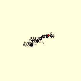 Cc1cc(Nc2ncc(Cl)c(Nc3ccccc3S(=O)(=O)C(C)C)n2)c(OC(C)C)cc1N1CCC(N2CCN(Cc3cccc(NC4CCC(=O)NC4=O)c3)CC2)CC1